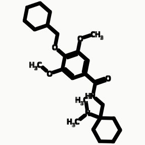 COc1cc(C(=O)NCC2(N(C)C)CCCCC2)cc(OC)c1OCC1CCCCC1